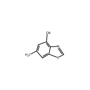 Cc1cc(C#N)c2ncsc2c1